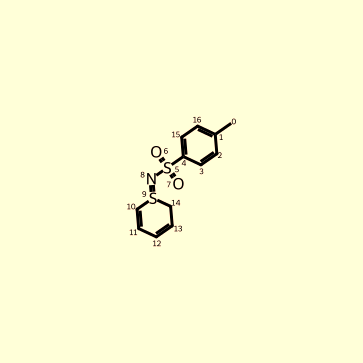 Cc1ccc(S(=O)(=O)N=S2C=CC=CC2)cc1